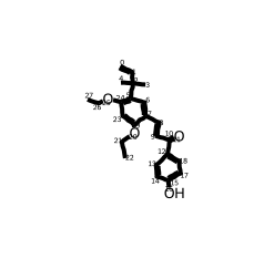 C=CC(C)(C)c1cc(/C=C/C(=O)c2ccc(O)cc2)c(OCC)cc1OCC